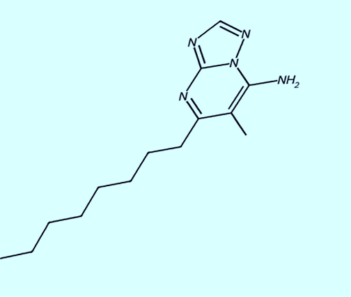 CCCCCCCCc1nc2ncnn2c(N)c1C